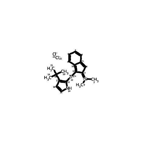 C[Si](C)=C1C=c2ccccc2=[C]1[Zr+2][c]1[nH]ccc1C(C)(C)C.[Cl-].[Cl-]